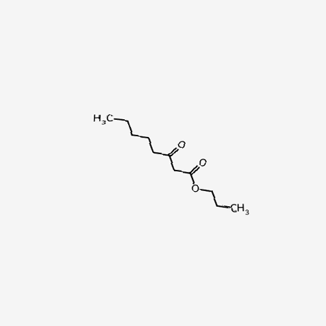 CCCCCC(=O)CC(=O)OCCC